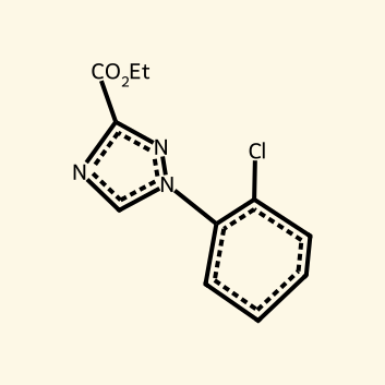 CCOC(=O)c1ncn(-c2ccccc2Cl)n1